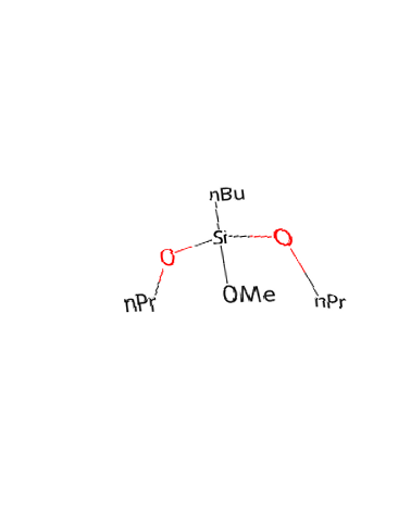 CCCC[Si](OC)(OCCC)OCCC